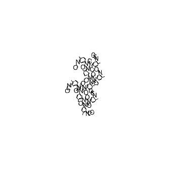 Cc1ccc(-n2c(=O)n(-c3ccc(C)c(-n4c(=O)n(-c5ccc(C)c(N=C=O)c5)c(=O)n(-c5ccc(C)c(N=C=O)c5)c4=O)c3)c(=O)n(-c3ccc(C)c(-n4c(=O)n(-c5ccc(C)c(N=C=O)c5)c(=O)n(-c5ccc(C)c(-n6c(=O)n(-c7ccc(C)c(N=C=O)c7)c(=O)n(-c7ccc(C)c(N=C=O)c7)c6=O)c5)c4=O)c3)c2=O)cc1N=C=O